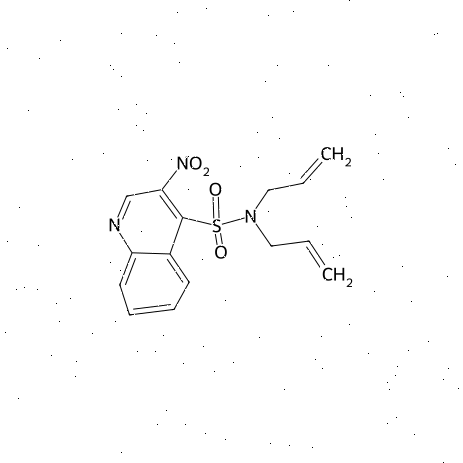 C=CCN(CC=C)S(=O)(=O)c1c([N+](=O)[O-])cnc2ccccc12